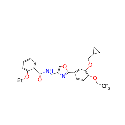 CCOc1ccccc1C(=O)NCc1coc(-c2ccc(OCC(F)(F)F)c(OCC3CC3)c2)n1